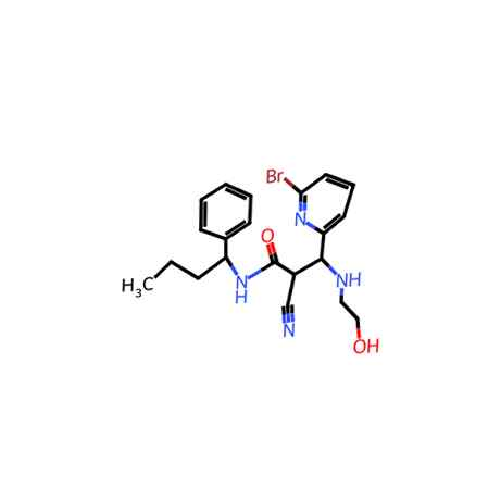 CCCC(NC(=O)C(C#N)C(NCCO)c1cccc(Br)n1)c1ccccc1